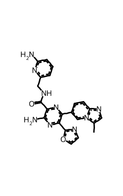 Cc1cnc2ccc(-c3nc(C(=O)NCc4cccc(N)n4)c(N)nc3-c3ncco3)cn12